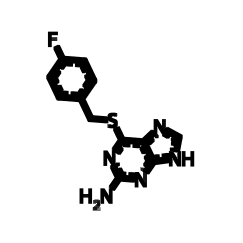 Nc1nc(SCc2ccc(F)cc2)c2nc[nH]c2n1